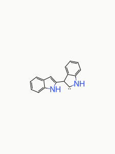 [C]1Nc2ccccc2C1c1cc2ccccc2[nH]1